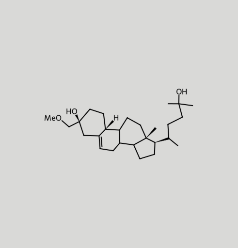 COC[C@]1(O)CC[C@H]2C(=CCC3C2CC[C@@]2(C)C3CC[C@@H]2C(C)CCC(C)(C)O)C1